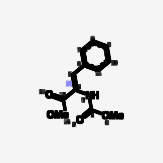 COC(=O)N/C(=C\c1ccccc1)C(=O)OC